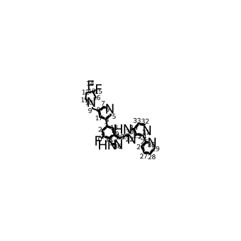 Fc1cc(-c2cncc(CN3CCC(F)(F)C3)c2)cc2c(-c3nc4c(-c5ccccn5)nccc4[nH]3)n[nH]c12